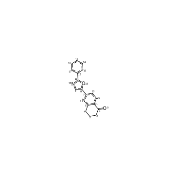 O=C1CCCc2nc(-c3cnc(-c4ccccc4)o3)ccc21